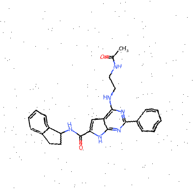 CC(=O)NCCNc1nc(-c2ccccc2)nc2[nH]c(C(=O)NC3CCc4ccccc43)cc12